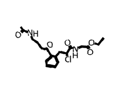 CCOC(=O)CNC(=O)C(Cl)Cc1ccccc1C(=O)CCCNC(C)=O